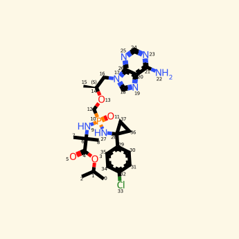 CC(C)OC(=O)C(C)(C)NP(=O)(CO[C@@H](C)Cn1cnc2c(N)ncnc21)NC1(c2ccc(Cl)cc2)CC1